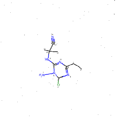 CCC1=NC(Cl)N(N)C(NC(C)(C)C#N)=N1